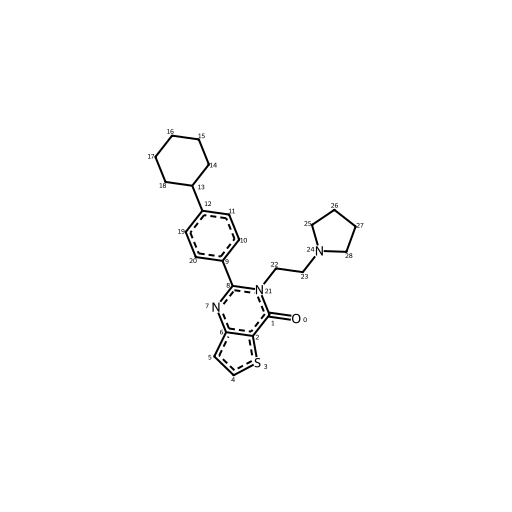 O=c1c2sccc2nc(-c2ccc(C3CCCCC3)cc2)n1CCN1CCCC1